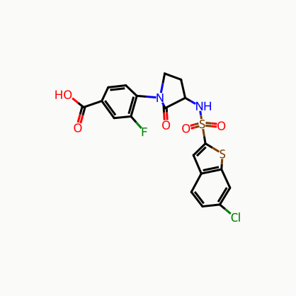 O=C(O)c1ccc(N2CCC(NS(=O)(=O)c3cc4ccc(Cl)cc4s3)C2=O)c(F)c1